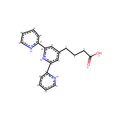 O=C(O)CCCc1cc(-c2ccccn2)nc(-c2ccccn2)c1